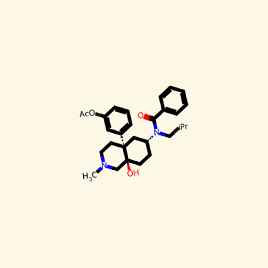 CC(=O)Oc1cccc([C@@]23CCN(C)C[C@@]2(O)CC[C@@H](N(CC(C)C)C(=O)c2ccccc2)C3)c1